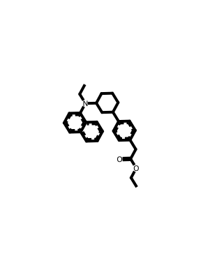 CCOC(=O)Cc1ccc(C2CCCC(N(CC)c3cccc4ccccc34)C2)cc1